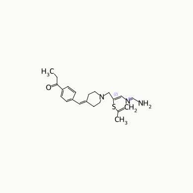 C=C(C)S/C(=C\N=C\N)CN1CCC(=Cc2ccc(C(=O)CC)cc2)CC1